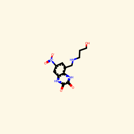 O=c1[nH]c2cc([N+](=O)[O-])cc(CNCCCO)c2[nH]c1=O